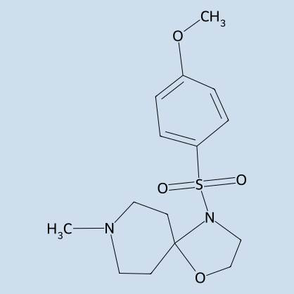 COc1ccc(S(=O)(=O)N2CCOC23CCN(C)CC3)cc1